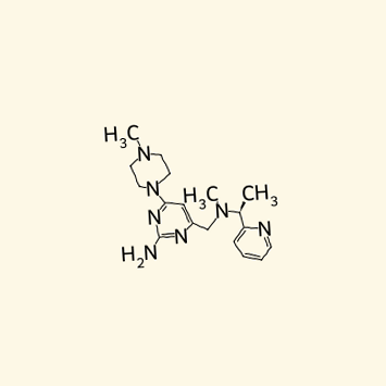 C[C@@H](c1ccccn1)N(C)Cc1cc(N2CCN(C)CC2)nc(N)n1